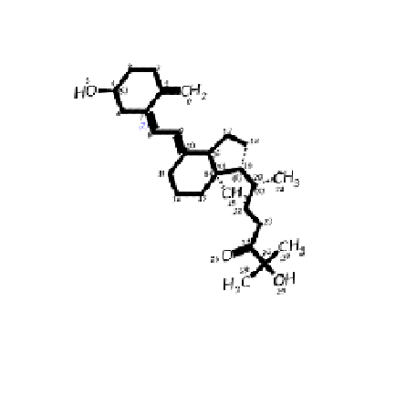 C=C1CC[C@H](O)C/C1=C/C=C1CCC[C@@]2(C)C1CC[C@@H]2[C@H](C)CCC(=O)C(C)(C)O